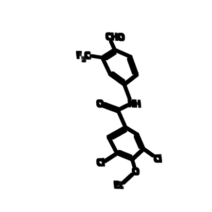 CCOc1c(Cl)cc(C(=O)Nc2ccc(C=O)c(C(F)(F)F)c2)cc1Cl